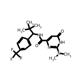 CN(C)c1nc(C(=O)NC(c2ccc(C(F)(F)F)cc2)C(C)(C)C)cc(=O)[nH]1